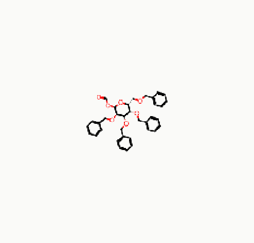 O=CO[C@H]1O[C@H](COCc2ccccc2)[C@H](OCc2ccccc2)[C@H](OCc2ccccc2)[C@H]1OCc1ccccc1